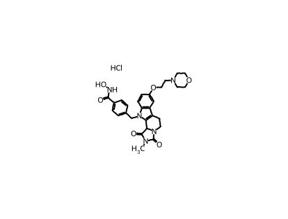 CN1C(=O)C2c3c(c4cc(OCCN5CCOCC5)ccc4n3Cc3ccc(C(=O)NO)cc3)CCN2C1=O.Cl